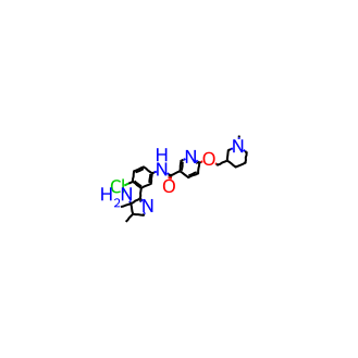 CC1CN=C(c2cc(NC(=O)c3ccc(OCC4CCCN(C)C4)nc3)ccc2Cl)C1(C)N